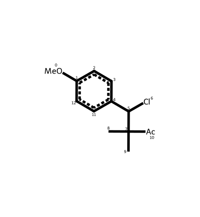 COc1ccc(C(Cl)C(C)(C)C(C)=O)cc1